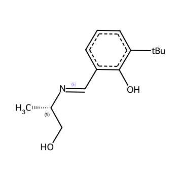 C[C@@H](CO)/N=C/c1cccc(C(C)(C)C)c1O